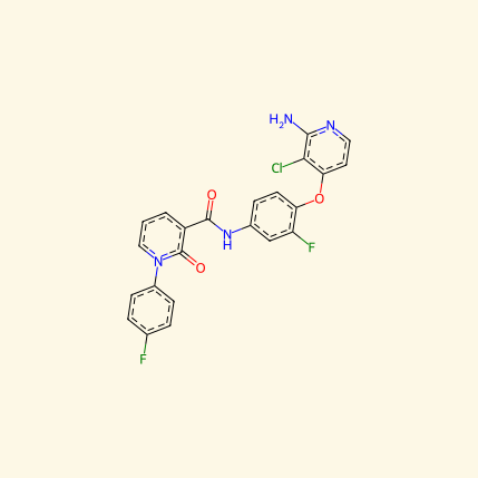 Nc1nccc(Oc2ccc(NC(=O)c3cccn(-c4ccc(F)cc4)c3=O)cc2F)c1Cl